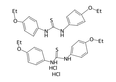 CCOc1ccc(NC(=S)Nc2ccc(OCC)cc2)cc1.CCOc1ccc(NC(=S)Nc2ccc(OCC)cc2)cc1.Cl.Cl